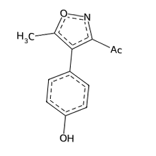 CC(=O)c1noc(C)c1-c1ccc(O)cc1